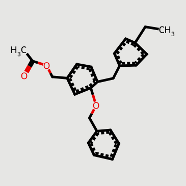 CCc1ccc(Cc2ccc(COC(C)=O)cc2OCc2ccccc2)cc1